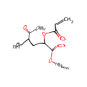 C=CC(=O)OC(CC(CCC)C(=O)OCC(C)C)C(=O)OCCCCCCCCC